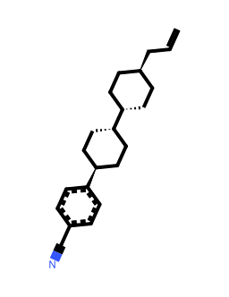 C=CC[C@H]1CC[C@H]([C@H]2CC[C@H](c3ccc(C#N)cc3)CC2)CC1